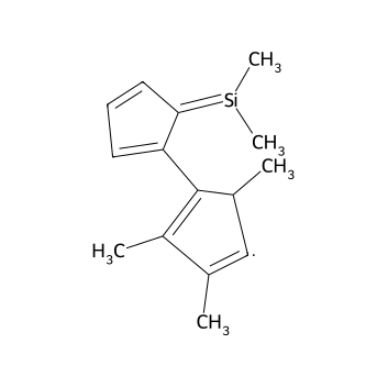 CC1=[C]C(C)C(C2=CC=CC2=[Si](C)C)=C1C